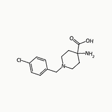 NC1(C(=O)O)CCN(Cc2ccc(Cl)cc2)CC1